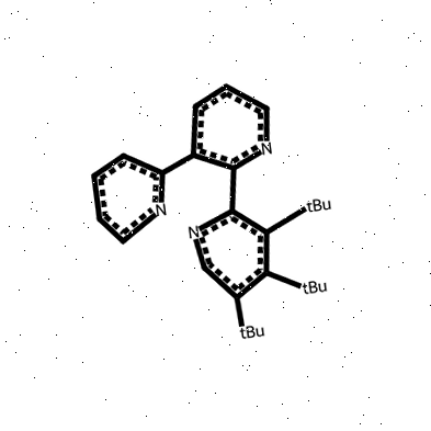 CC(C)(C)c1cnc(-c2ncccc2-c2ccccn2)c(C(C)(C)C)c1C(C)(C)C